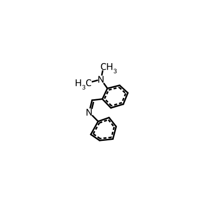 CN(C)c1ccccc1/C=N\c1ccccc1